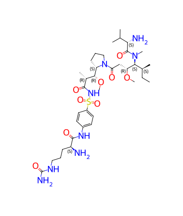 CC[C@H](C)[C@@H]([C@@H](CC(=O)N1CCC[C@H]1[C@H](OC)[C@@H](C)C(=O)NS(=O)(=O)c1ccc(NC(=O)[C@@H](N)CCCNC(N)=O)cc1)OC)N(C)C(=O)[C@@H](N)C(C)C